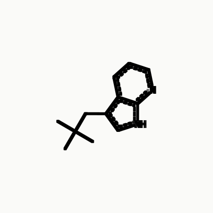 CC(C)(C)Cc1c[nH]c2ncccc12